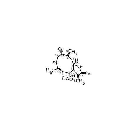 C=C1C[C@@H]2OC(=O)C(=C)[C@H]2[C@H](OC(C)=O)/C=C(/C)CCC1=O